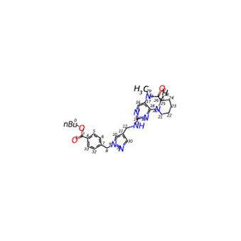 CCCCOC(=O)c1ccc(Cn2cc(CNc3ncc4c(n3)N3CCCC[C@H]3C(=O)N4C)cn2)cc1